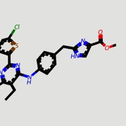 CCc1c(C)nc(-c2ccc(Cl)s2)nc1Nc1ccc(Cc2nc(C(=O)OC)c[nH]2)cc1